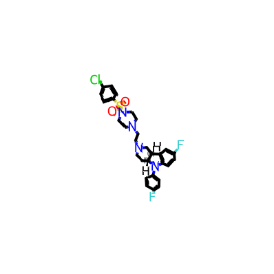 O=S(=O)(c1ccc(Cl)cc1)N1CCN(CCN2CC[C@@H]3[C@@H](C2)c2cc(F)ccc2N3c2ccc(F)cc2)CC1